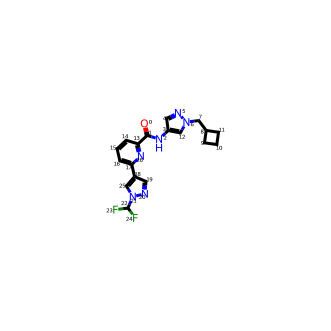 O=C(Nc1cnn(CC2CCC2)c1)c1cccc(-c2cnn(C(F)F)c2)n1